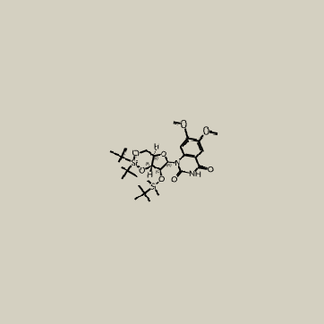 COc1cc2c(=O)[nH]c(=O)n([C@@H]3O[C@@H]4CO[Si](C(C)(C)C)(C(C)(C)C)O[C@H]4[C@@H]3O[Si](C)(C)C(C)(C)C)c2cc1OC